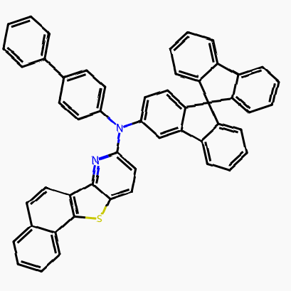 c1ccc(-c2ccc(N(c3ccc4c(c3)-c3ccccc3C43c4ccccc4-c4ccccc43)c3ccc4sc5c6ccccc6ccc5c4n3)cc2)cc1